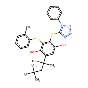 Cc1ccccc1Sc1c(O)c(C(C)(C)CC(C)(C)C)cc(O)c1Sc1nnnn1-c1ccccc1